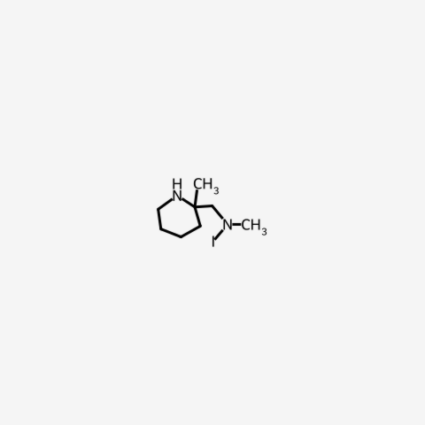 CN(I)CC1(C)CCCCN1